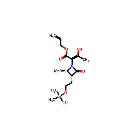 C=CCOC(=O)/C(=C(/C)O)N1C(=O)[C@H](CCO[Si](C)(C)C(C)(C)C)[C@H]1SC